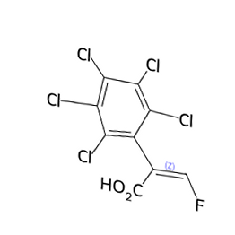 O=C(O)/C(=C\F)c1c(Cl)c(Cl)c(Cl)c(Cl)c1Cl